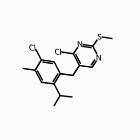 CSc1ncc(Cc2cc(Cl)c(C)cc2C(C)C)c(Cl)n1